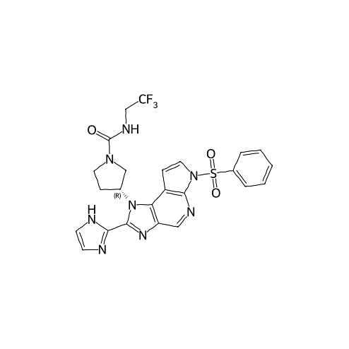 O=C(NCC(F)(F)F)N1CC[C@@H](n2c(-c3ncc[nH]3)nc3cnc4c(ccn4S(=O)(=O)c4ccccc4)c32)C1